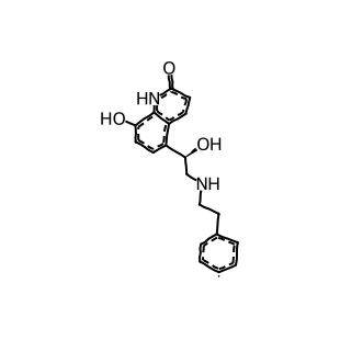 O=c1ccc2c([C@@H](O)CNCCc3cc[c]cc3)ccc(O)c2[nH]1